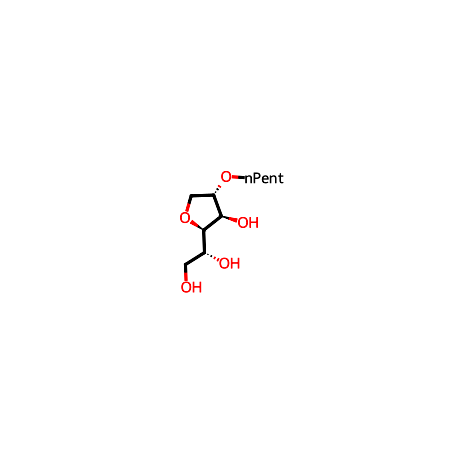 CCCCCO[C@H]1CO[C@H]([C@H](O)CO)[C@@H]1O